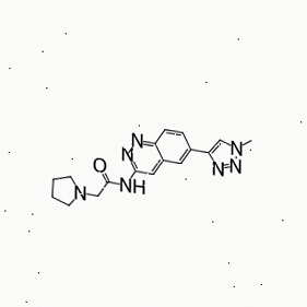 Cn1cc(-c2ccc3nnc(NC(=O)CN4CCCC4)cc3c2)nn1